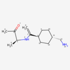 C=C(N[C@@H](C)C(C)=O)[C@H]1CC[C@H](CN)CC1